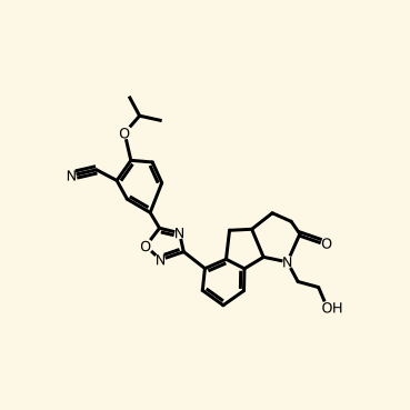 CC(C)Oc1ccc(-c2nc(-c3cccc4c3CC3CCC(=O)N(CCO)C43)no2)cc1C#N